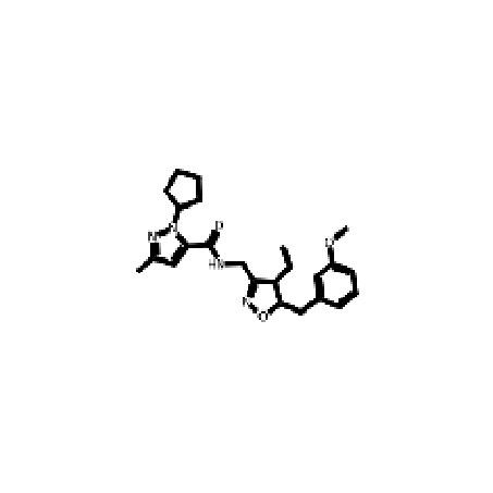 CCC1C(CNC(=O)c2cc(C)nn2C2CCCC2)=NOC1Cc1cccc(OC)c1